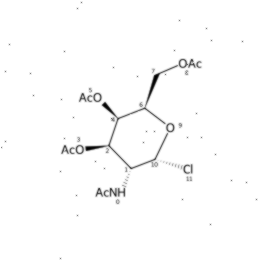 CC(=O)N[C@@H]1[C@@H](OC(C)=O)[C@@H](OC(C)=O)[C@@H](COC(C)=O)O[C@@H]1Cl